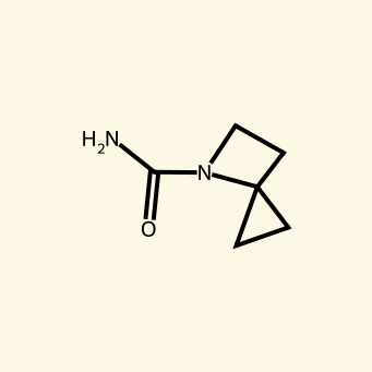 NC(=O)N1CCC12CC2